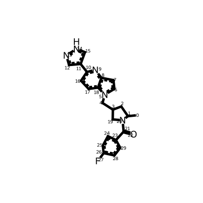 CC1CC(Cn2ccc3nc(-c4cn[nH]c4)ccc32)CN1C(=O)c1ccc(F)cc1